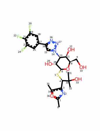 Cc1nc([C@@H](S[C@@H]2O[C@H](CO)[C@H](O)[C@H](n3cc(-c4cc(F)c(F)c(F)c4)nn3)[C@H]2O)C(C)(C)O)c(C)o1